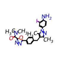 Cc1nn(-c2ccc(N)c(I)c2)c(C)c1Cc1ccc(-c2nnc(C(=O)N(C)C)o2)cc1